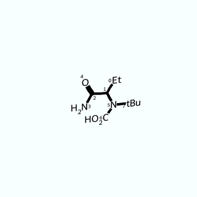 CCC(C(N)=O)N(C(=O)O)C(C)(C)C